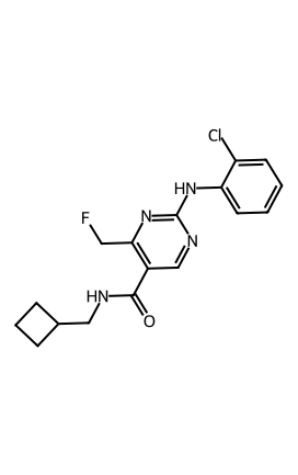 O=C(NCC1CCC1)c1cnc(Nc2ccccc2Cl)nc1CF